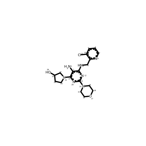 Nc1c(NCc2ncccc2Cl)nc(N2CCOCC2)nc1N1CCC(O)C1